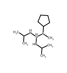 CC(C)N[SiH](NC(C)C)N(C)C1CCCC1